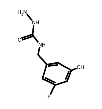 NNC(=O)NCc1cc(O)cc(F)c1